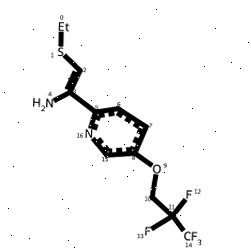 CCS/C=C(\N)c1ccc(OCC(F)(F)C(F)(F)F)cn1